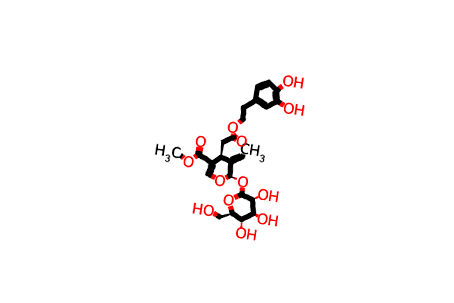 C/C=C1/[C@H](OC2O[C@H](CO)[C@@H](O)[C@H](O)[C@H]2O)OC=C(C(=O)OC)[C@H]1CC(=O)OCCc1ccc(O)c(O)c1